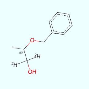 [2H]C([2H])(O)[C@H](C)OCc1ccccc1